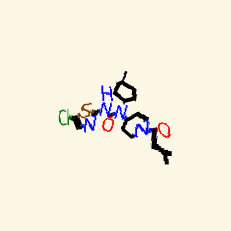 CC(C)CC(=O)N1CCC(N(C(=O)Nc2ncc(Cl)s2)[C@H]2CC[C@H](C)CC2)CC1